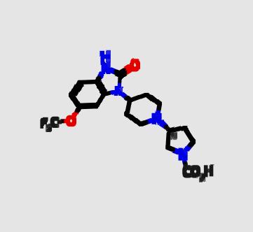 O=C(O)N1CC[C@H](N2CCC(n3c(=O)[nH]c4ccc(OC(F)(F)F)cc43)CC2)C1